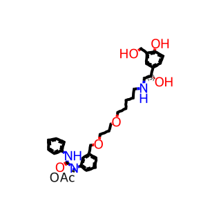 CC(=O)ON(C(=O)Nc1ccccc1)c1cccc(COCCCOCCCCCNC[C@@H](O)c2ccc(O)c(CO)c2)c1